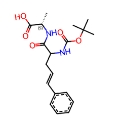 C[C@H](NC(=O)C(CC=Cc1ccccc1)NC(=O)OC(C)(C)C)C(=O)O